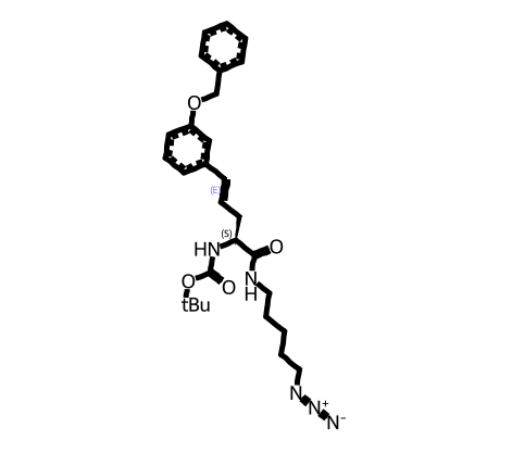 CC(C)(C)OC(=O)N[C@@H](C/C=C/c1cccc(OCc2ccccc2)c1)C(=O)NCCCCCN=[N+]=[N-]